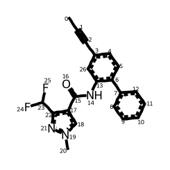 CC#Cc1ccc(-c2ccccc2)c(NC(=O)c2cn(C)nc2C(F)F)c1